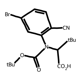 CC(C)(C)OC(=O)N(c1cc(Br)ccc1C#N)C(C(=O)O)C(C)(C)C